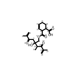 C=C(C)C(=O)CC(O)(COC(=O)C1C=CCCC1C(=O)O)C(C)C(=O)C(=C)C